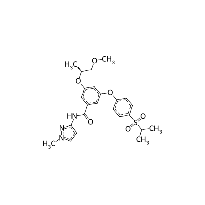 COC[C@H](C)Oc1cc(Oc2ccc(S(=O)(=O)C(C)C)cc2)cc(C(=O)Nc2ccn(C)n2)c1